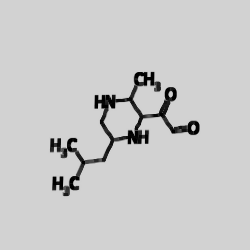 CC(C)CC1CNC(C)C(C(=O)C=O)N1